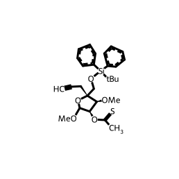 C#CC[C@]1(CO[Si](c2ccccc2)(c2ccccc2)C(C)(C)C)OC(OC)[C@H](OC(C)=S)[C@@H]1OC